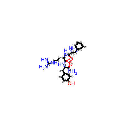 N=C(N)NCCC[C@H](NC(=O)[C@@H](N)Cc1ccccc1)C(=O)NC(Cc1ccc(O)cc1)C(N)=O